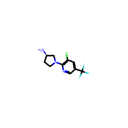 N[C@@H]1CCN(c2ncc(C(F)(F)F)cc2Cl)C1